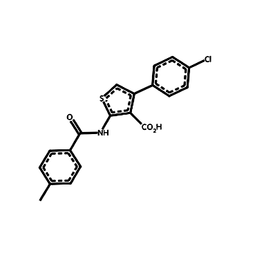 Cc1ccc(C(=O)Nc2scc(-c3ccc(Cl)cc3)c2C(=O)O)cc1